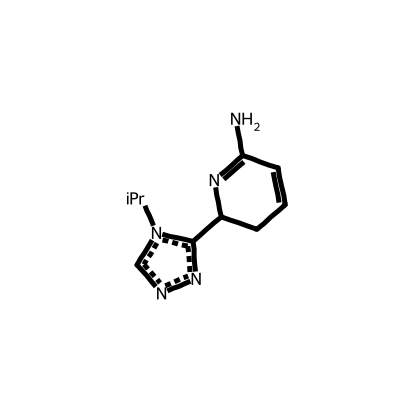 CC(C)n1cnnc1C1CC=CC(N)=N1